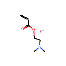 C=CC(=O)OCCN(C)C.[H+]